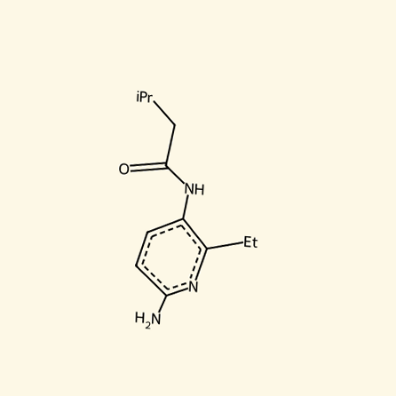 CCc1nc(N)ccc1NC(=O)CC(C)C